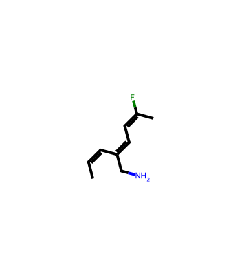 C\C=C/C(=C\C=C(/C)F)CN